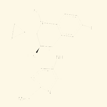 COc1ccc(N[C@H]2c3cc(F)ccc3N(C(C)=O)[C@@H](C3CC3)[C@@H]2C)cn1